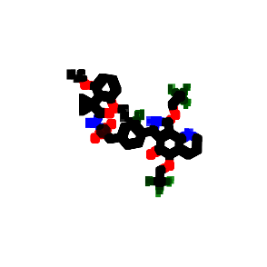 COc1cccc(OC)c1C1(C(=O)NS(=O)(=O)Cc2ccc(C3NC(OCC(F)(F)F)C4=C3C(=O)C(OCC(F)(F)F)c3cccnc34)c(Cl)c2)CC1